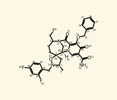 C[C@@H]1C[C@]2(CCC(CF)N3C[C@H]2n2cc(C(N)=O)c(=O)c(OCc4ccccc4)c2C3=O)ON1Cc1ccc(F)cc1F